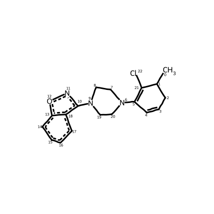 CC1CC=CC(N2CCN(c3noc4ccccc34)CC2)=C1Cl